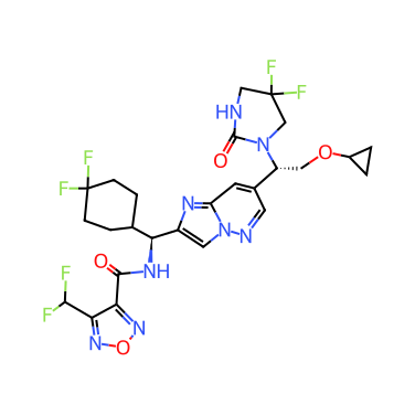 O=C(N[C@H](c1cn2ncc([C@@H](COC3CC3)N3CC(F)(F)CNC3=O)cc2n1)C1CCC(F)(F)CC1)c1nonc1C(F)F